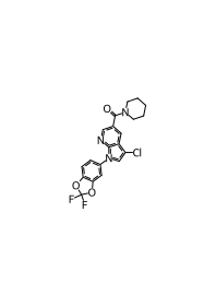 O=C(c1cnc2c(c1)c(Cl)cn2-c1ccc2c(c1)OC(F)(F)O2)N1CCCCC1